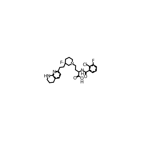 O=C(NC(CCN1CCC[C@](F)(CCc2ccc3c(n2)NCCC3)C1)C(=O)O)c1cccc(F)c1Cl